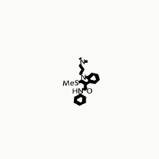 CSc1c(C(=O)Nc2ccccc2)c2ccccc2n1CCCN(C)C